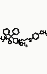 Cc1ccc(SCCC[N@+]2(C)CCC(C(C(N)=O)(c3ccccc3)c3ccccc3)C2)cc1